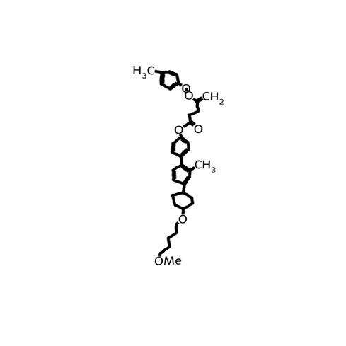 C=C(CCC(=O)Oc1ccc(-c2ccc(C3CCC(OCCCCCOC)CC3)cc2C)cc1)OOc1ccc(C)cc1